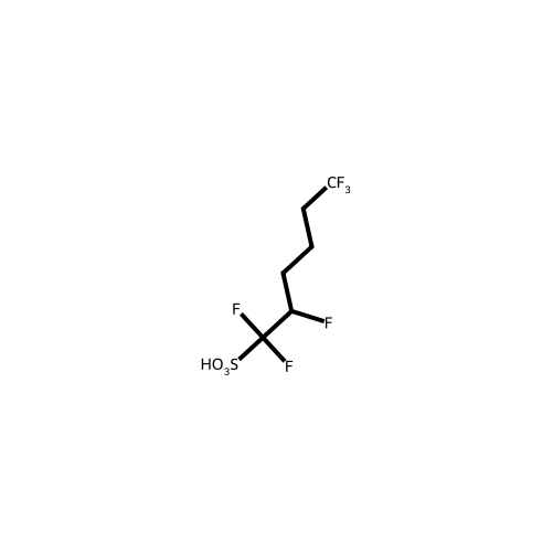 O=S(=O)(O)C(F)(F)C(F)CCCC(F)(F)F